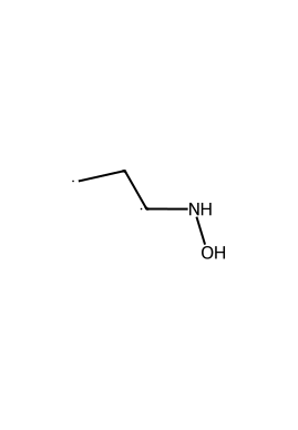 [CH2]C[CH]NO